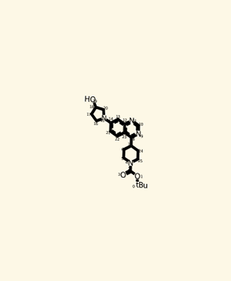 CC(C)(C)OC(=O)N1CCC(c2ncnc3cc(N4CCC(O)C4)ccc23)CC1